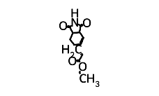 C=CC(=O)OCC.O=C1NC(=O)C2CCC=CC12